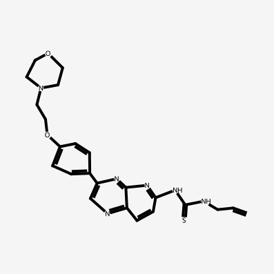 C=CCNC(=S)Nc1ccc2ncc(-c3ccc(OCCN4CCOCC4)cc3)nc2n1